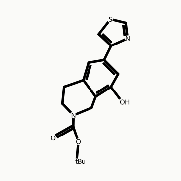 CC(C)(C)OC(=O)N1CCc2cc(-c3cscn3)cc(O)c2C1